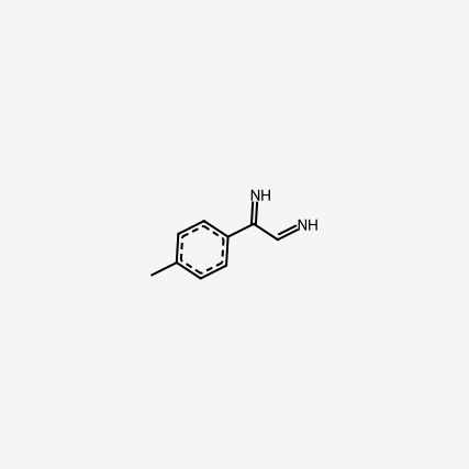 Cc1ccc(C(=N)C=N)cc1